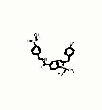 CC[S+]([O-])c1ccc(CNC(=O)c2ccc3c(c2)cc(Cc2ccc(Br)cc2)n3C(C)C)cc1